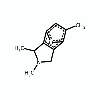 Cc1cc2oc1c1c2C(C)N(C)C1